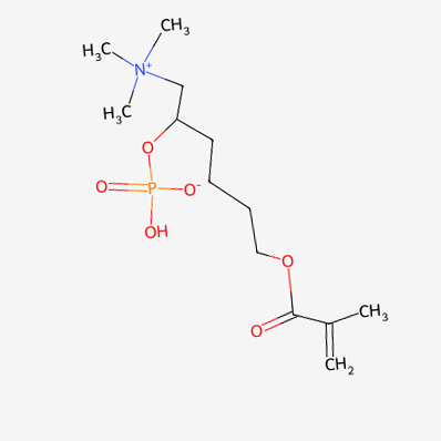 C=C(C)C(=O)OCCCCC(C[N+](C)(C)C)OP(=O)([O-])O